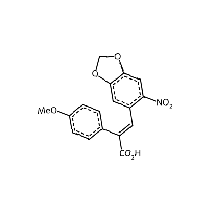 COc1ccc(/C(=C\c2cc3c(cc2[N+](=O)[O-])OCO3)C(=O)O)cc1